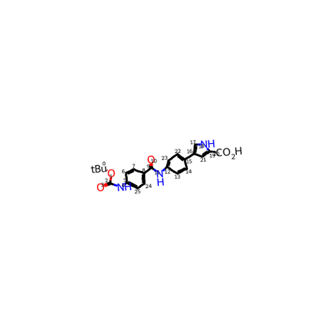 CC(C)(C)OC(=O)Nc1ccc(C(=O)Nc2ccc(-c3c[nH]c(C(=O)O)c3)cc2)cc1